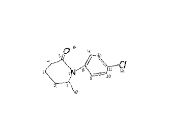 CC1CCCC(=O)N1c1ccc(Cl)cc1